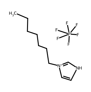 CCCCCCC[n+]1cc[nH]c1.F[P-](F)(F)(F)(F)F